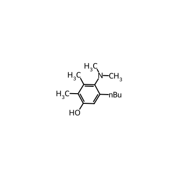 CCCCc1cc(O)c(C)c(C)c1N(C)C